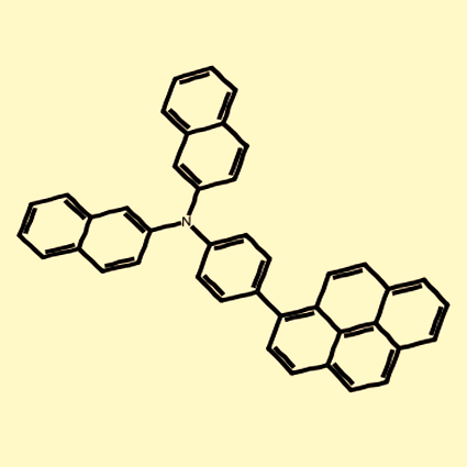 c1ccc2cc(N(c3ccc(-c4ccc5ccc6cccc7ccc4c5c67)cc3)c3ccc4ccccc4c3)ccc2c1